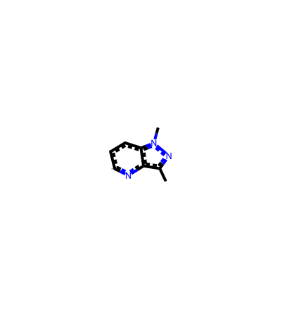 Cc1nn(C)c2cc[c]nc12